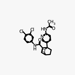 CC(=O)Nc1ccc(C23CCC(CC2C(=O)Nc2ccc(Cl)c(Cl)c2)O3)cn1